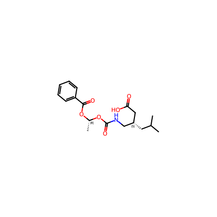 CC(C)C[C@H](CNC(=O)O[C@H](C)OC(=O)c1ccccc1)CC(=O)O